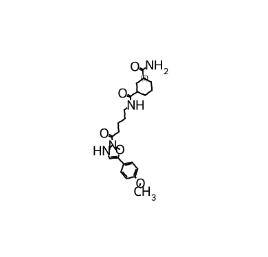 COc1ccc(C2=CNN(C(=O)CCCCNC(=O)C3CCC[C@H](C(N)=O)C3)O2)cc1